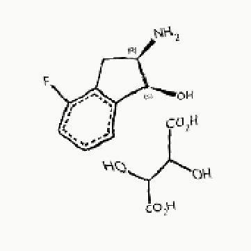 N[C@@H]1Cc2c(F)cccc2[C@@H]1O.O=C(O)C(O)C(O)C(=O)O